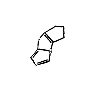 c1ncn2c3c(sc12)CCC3